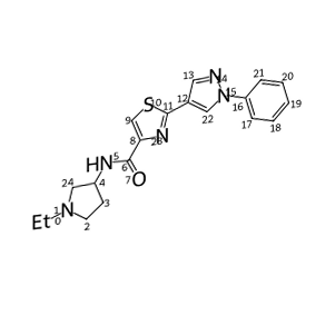 CCN1CCC(NC(=O)c2csc(-c3cnn(-c4ccccc4)c3)n2)C1